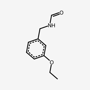 CCOc1cccc(CNC=O)c1